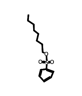 CCCCCCCCOS(=O)(=O)c1ccccc1